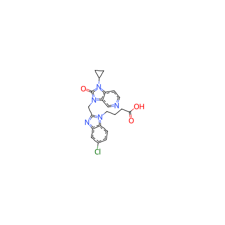 O=C(O)CCCn1c(Cn2c(=O)n(C3CC3)c3ccncc32)nc2cc(Cl)ccc21